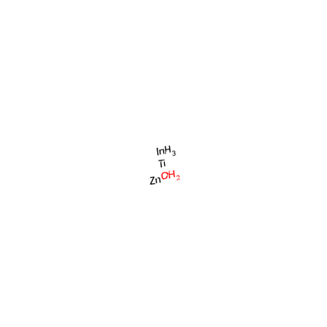 O.[InH3].[Ti].[Zn]